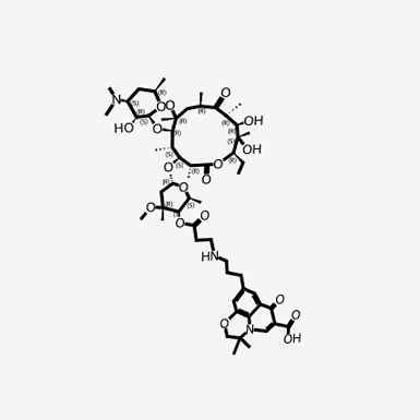 CC[C@H]1OC(=O)[C@H](C)[C@@H](O[C@H]2C[C@@](C)(OC)[C@@H](OC(=O)CCNCCCc3cc4c5c(c3)c(=O)c(C(=O)O)cn5C(C)(C)CO4)[C@H](C)O2)[C@H](C)[C@@H](O[C@@H]2O[C@H](C)C[C@H](N(C)C)[C@H]2O)[C@](C)(OC)C[C@@H](C)C(=O)[C@H](C)[C@@H](O)[C@]1(C)O